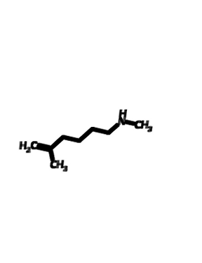 C=C(C)CCCCNC